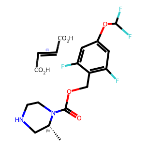 C[C@@H]1CNCCN1C(=O)OCc1c(F)cc(OC(F)F)cc1F.O=C(O)/C=C/C(=O)O